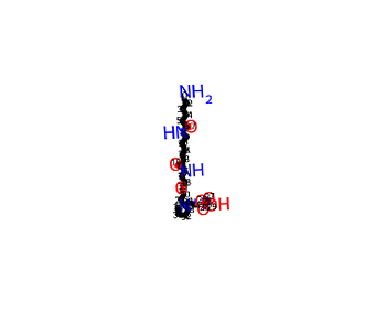 NCCCCCC(=O)NCCCCCC(=O)NCCOCC[N+]1(CCOP(=O)([O-])O)CCCC1